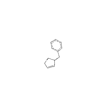 C1=CC(Cc2ccccc2)CC1